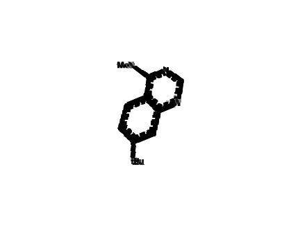 CNc1ncnc2cc(C(C)(C)C)ccc12